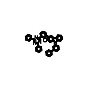 c1ccc(-c2cccc(-n3c4ccccc4c4cc5c(cc43)oc3c(-c4nc(-c6ccccc6)nc(-c6ccccc6)n4)cccc35)c2)cc1